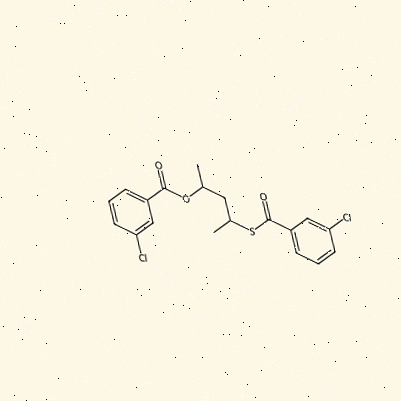 CC(CC(C)SC(=O)c1cccc(Cl)c1)OC(=O)c1cccc(Cl)c1